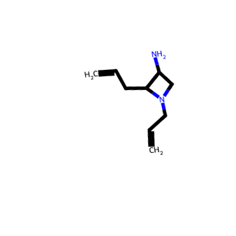 C=CCC1C(N)CN1CC=C